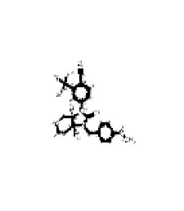 COc1ccc(CN2C(=O)N(c3ccc(C#N)c(C(F)(F)F)c3)[C@@H]3COCC[C@H]32)cc1